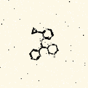 c1ccc(C(Oc2cccnc2C2CC2)C2CNCCO2)cc1